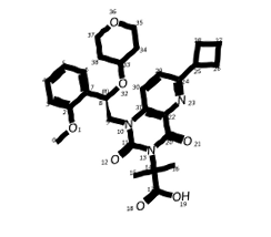 COc1ccccc1[C@H](Cn1c(=O)n(C(C)(C)C(=O)O)c(=O)c2nc(C3CCC3)ccc21)OC1CCOCC1